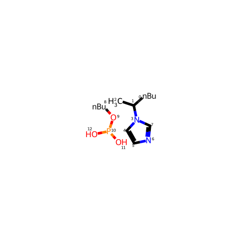 CCCCC(C)n1ccnc1.CCCCOP(O)O